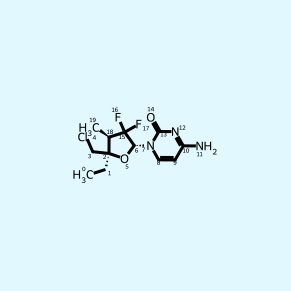 CC[C@@]1(CCl)O[C@@H](n2ccc(N)nc2=O)C(F)(F)[C@@H]1C